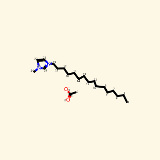 CC(=O)[O-].CCCCCCCCCCCCCCCC[n+]1ccn(C)c1